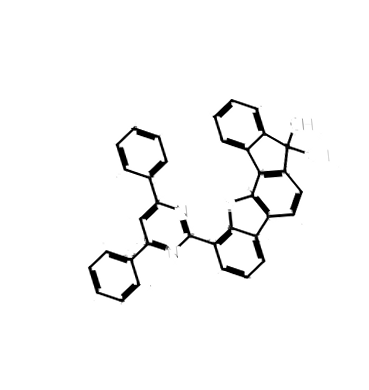 CC1(C)c2ccccc2-c2c1ccc1c2sc2c(-c3nc(-c4ccccc4)cc(-c4ccccc4)n3)cccc21